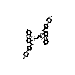 CC(c1ccc(N2CCN(C)CC2)cc1)c1ccc2c(c1OC(=O)/C=C/C(=O)Oc1c(C(C)c3ccc(N4CCN(C)CC4)cc3)ccc3c1Nc1ccccc1S3)Nc1ccccc1S2